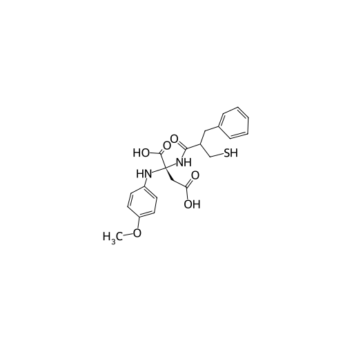 COc1ccc(N[C@@](CC(=O)O)(NC(=O)C(CS)Cc2ccccc2)C(=O)O)cc1